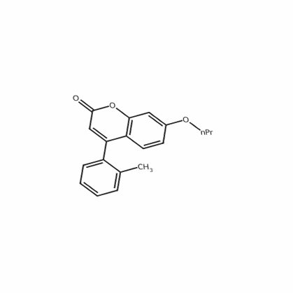 CCCOc1ccc2c(-c3ccccc3C)cc(=O)oc2c1